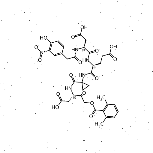 Cc1cccc(C)c1C(=O)OCC(=O)[C@H](CC(=O)O)NC(=O)C1(NC(=O)[C@H](CCC(=O)O)NC(=O)[C@H](CC(=O)O)NC(=O)Cc2ccc(O)c([N+](=O)[O-])c2)CC1